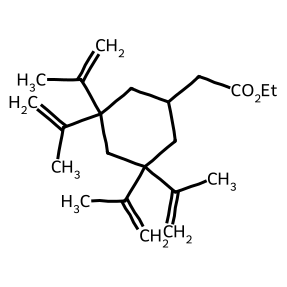 C=C(C)C1(C(=C)C)CC(CC(=O)OCC)CC(C(=C)C)(C(=C)C)C1